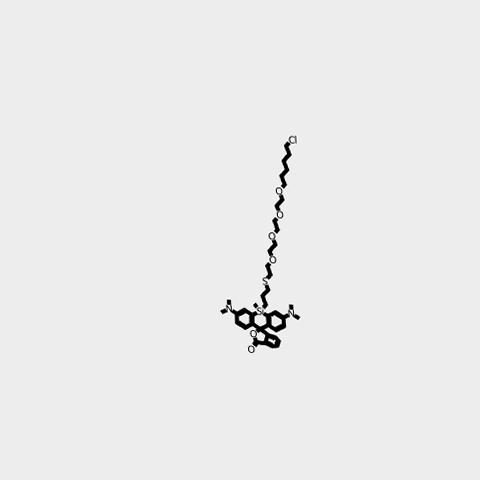 CN(C)c1ccc2c(c1)[Si](C)(CCCSCCOCCOCCOCCOCCCCCCCl)c1cc(N(C)C)ccc1C21OC(=O)c2ccccc21